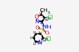 Cc1onc(NS(=O)(=O)c2cccnc2Cl)c1Cl